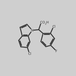 O=C(O)C(c1ccc(F)cc1Cl)n1ccc2ccc(Cl)cc21